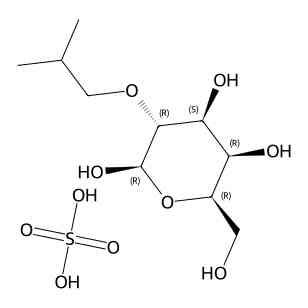 CC(C)CO[C@@H]1[C@@H](O)[C@@H](O)[C@@H](CO)O[C@H]1O.O=S(=O)(O)O